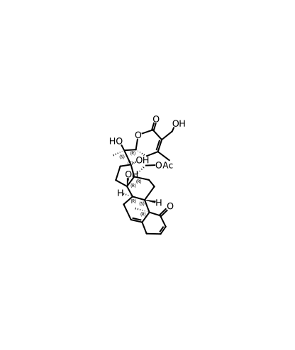 CC(=O)OC[C@]12CC[C@H]3[C@@H](CC=C4CC=CC(=O)[C@@]43C)[C@]1(O)CC[C@@]2(O)[C@@](C)(O)[C@H]1CC(C)=C(CO)C(=O)O1